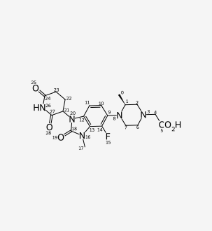 C[C@H]1CN(CC(=O)O)CCN1c1ccc2c(c1F)n(C)c(=O)n2C1CCC(=O)NC1=O